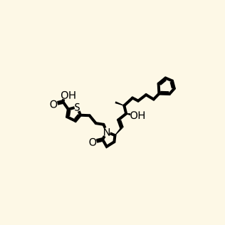 C[C@@H](CCCCc1ccccc1)[C@@H](O)/C=C/[C@H]1CCC(=O)N1CCCc1ccc(C(=O)O)s1